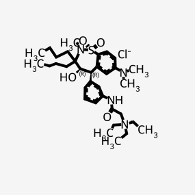 CCCCC1(CCCC)[C@H](O)[C@H](c2cccc(NC(=O)C[N+](CC)(CC)CC)c2)c2cc(N(C)C)ccc2S(=O)(=O)N1C.[Cl-]